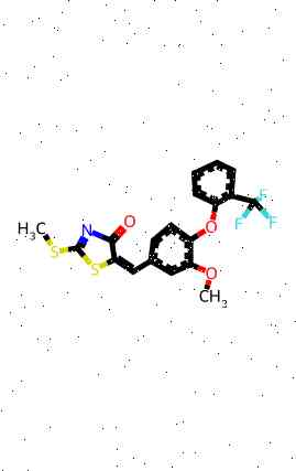 COc1cc(C=C2SC(SC)=NC2=O)ccc1Oc1ccccc1C(F)(F)F